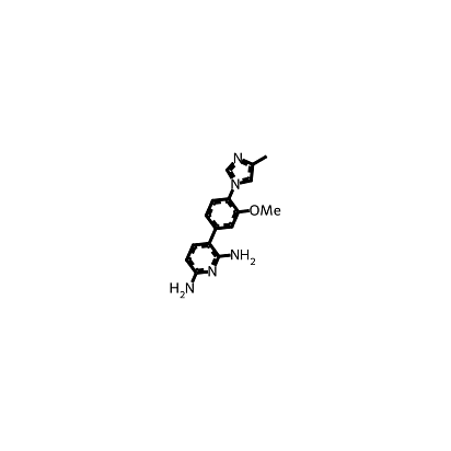 COc1cc(-c2ccc(N)nc2N)ccc1-n1cnc(C)c1